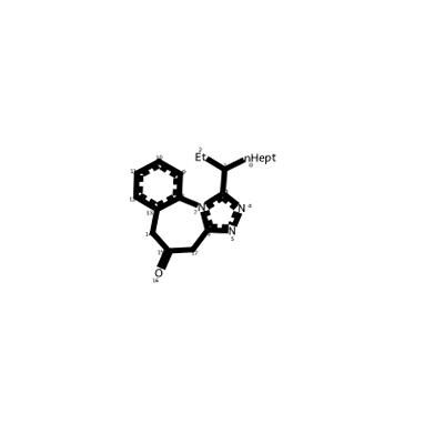 CCCCCCCC(CC)c1nnc2n1-c1ccccc1CC(=O)C2